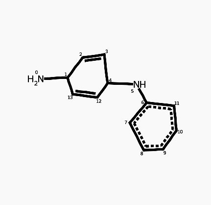 NC1C=CC(Nc2ccccc2)C=C1